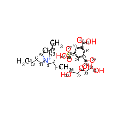 CCCC[N+](CC)(CCCC)CCCC.O=C(O)c1cc(C(=O)O)cc(S(=O)(=O)O)c1.OCCOCCO